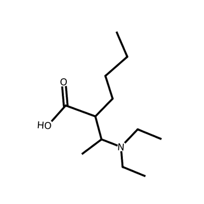 CCCCC(C(=O)O)C(C)N(CC)CC